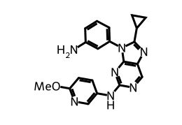 COc1ccc(Nc2ncc3nc(C4CC4)n(-c4cccc(N)c4)c3n2)cn1